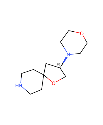 C1CC2(CCN1)C[C@@H](N1CCOCC1)CO2